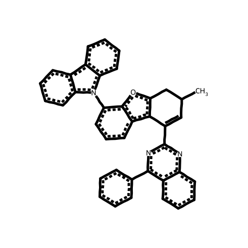 CC1C=C(c2nc(-c3ccccc3)c3ccccc3n2)c2c(oc3c(-n4c5ccccc5c5ccccc54)cccc23)C1